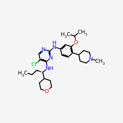 CCC[C@@H](Nc1nc(Nc2ccc(C3CCN(C)CC3)c(OC(C)C)c2)ncc1Cl)C1CCOCC1